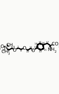 C[N+](C)(C)CCOCCOCCOc1ccc(C[C@H](N)C(=O)O)cc1